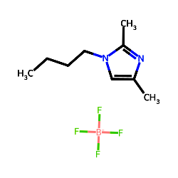 CCCCn1cc(C)nc1C.F[B-](F)(F)F